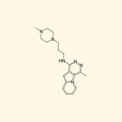 Cc1nnc(NCCCN2CCN(C)CC2)c2cc3ccccn3c12